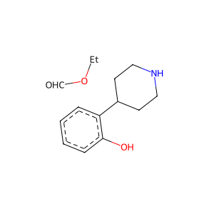 CCOC=O.Oc1ccccc1C1CCNCC1